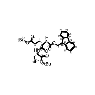 CC(C)C[C@H](NC(=O)[C@H](CCC(=O)OC(C)(C)C)NC(=O)OCC1c2ccccc2-c2ccccc21)C(=O)OC(C)(C)C